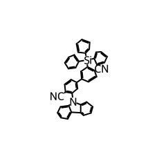 N#Cc1ccc(-c2ccc(C#N)c([Si](c3ccccc3)(c3ccccc3)c3ccccc3)c2)cc1-n1c2ccccc2c2ccccc21